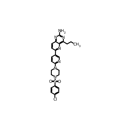 CCCc1nc(N)nc2ccc(-c3ccc(N4CCN(S(=O)(=O)c5ccc(Cl)cc5)CC4)nc3)nc12